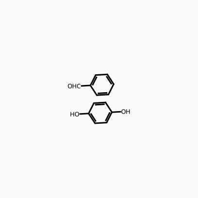 O=Cc1ccccc1.Oc1ccc(O)cc1